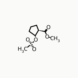 COC(=O)[C@@H]1CCC[C@H]1OS(C)(=O)=O